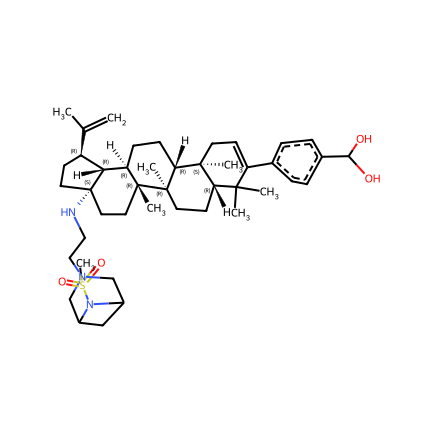 C=C(C)[C@@H]1CC[C@]2(NCCN3CC4CC(C3)N4S(C)(=O)=O)CC[C@]3(C)[C@H](CC[C@@H]4[C@@]5(C)CC=C(c6ccc(C(O)O)cc6)C(C)(C)[C@@H]5CC[C@]43C)[C@@H]12